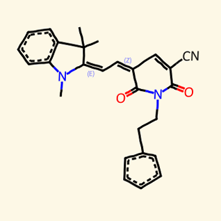 CN1/C(=C/C=C2/C=C(C#N)C(=O)N(CCc3ccccc3)C2=O)C(C)(C)c2ccccc21